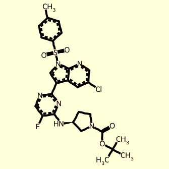 Cc1ccc(S(=O)(=O)n2cc(-c3ncc(F)c(N[C@H]4CCN(C(=O)OC(C)(C)C)C4)n3)c3cc(Cl)cnc32)cc1